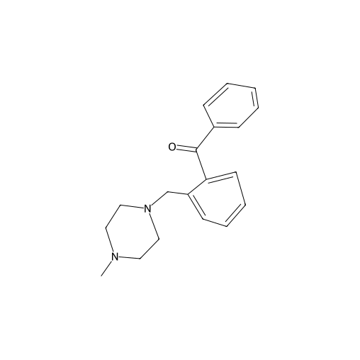 CN1CCN(Cc2ccccc2C(=O)c2ccccc2)CC1